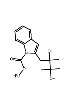 CC(C)(C)OC(=O)n1c(CC(C)(O)C(C)(C)O)cc2ccccc21